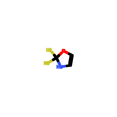 SC1(S)NC=CO1